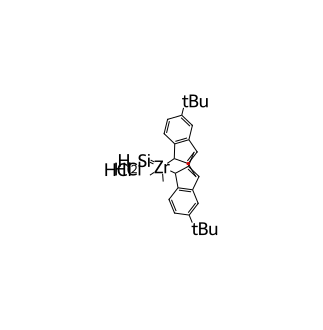 CC1=Cc2cc(C(C)(C)C)ccc2[CH]1[Zr]([CH3])([CH3])(=[SiH2])[CH]1C(C)=Cc2cc(C(C)(C)C)ccc21.Cl.Cl